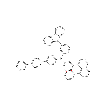 c1ccc(-c2ccc(-c3ccc(N(c4cccc(-c5cccc6cccc(-c7ccccc7)c56)c4)c4cccc(-n5c6ccccc6c6ccccc65)c4)cc3)cc2)cc1